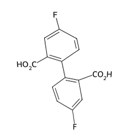 O=C(O)c1cc(F)ccc1-c1ccc(F)cc1C(=O)O